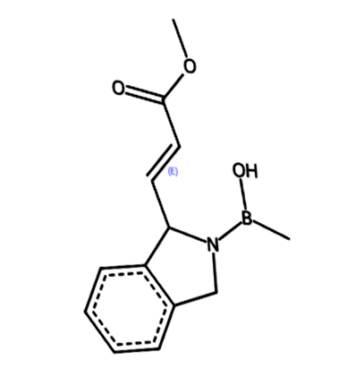 COC(=O)/C=C/C1c2ccccc2CN1B(C)O